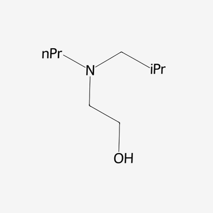 [CH2]CCN(CCO)CC(C)C